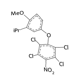 COc1ccc(Oc2c(Cl)c(Cl)c([N+](=O)[O-])c(Cl)c2Cl)cc1C(C)C